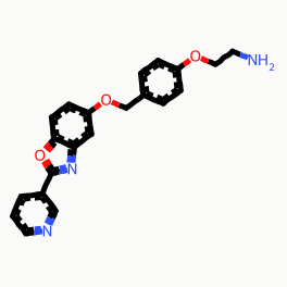 NCCOc1ccc(COc2ccc3oc(-c4cccnc4)nc3c2)cc1